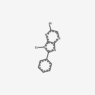 CCn1c(-c2ccccc2)nc2ncc(C(C)C)nc21